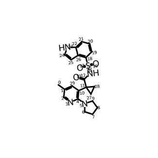 Cc1cnc(N2CCCC2)c(C2(C(=O)NS(=O)(=O)c3cccc4[nH]ccc34)CC2)c1